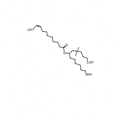 CCCCCCCC/C=C\CCCCCCCC(=O)OC(CCCCCCCCCCCCCCCC)C[N+](C)(C)CCCC(=O)[O-]